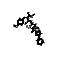 COC(=O)[C@H](Cc1ccc(OC)cc1)N(N)/C=C(\N)CN(C)[SH](C)(=O)c1ccc(-c2ccccn2)s1